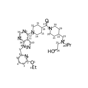 CCOc1cccc(Cn2ncc3c(N4CCC(C(=O)N5CCC(CN(CCO)C(C)C)CC5)CC4)ncnc32)n1